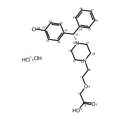 Cl.Cl.O=C(O)COCCN1CCN([C@@H](c2ccccc2)c2ccc(Cl)cc2)CC1